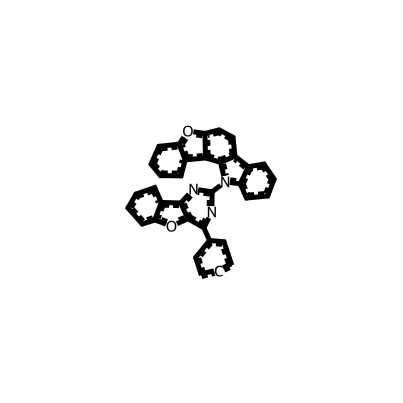 c1ccc(-c2nc(-n3c4ccccc4c4ccc5oc6ccccc6c5c43)nc3c2oc2ccccc23)cc1